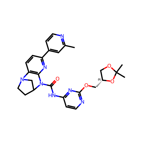 Cc1cc(-c2ccc3c(n2)N(C(=O)Nc2ccnc(OC[C@@H]4COC(C)(C)O4)n2)C2CCN3C2)ccn1